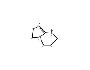 [C]1CCN2CCN=C2N1